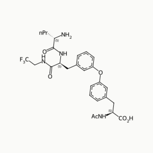 CCC[C@H](N)C(=O)N[C@@H](Cc1cccc(Oc2cccc(C[C@H](NC(C)=O)C(=O)O)c2)c1)C(=O)NCC(F)(F)F